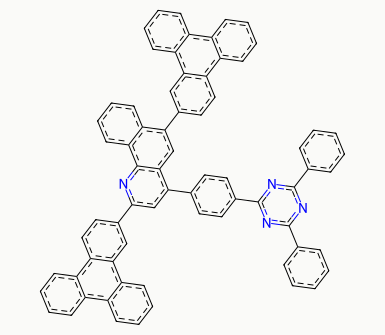 c1ccc(-c2nc(-c3ccccc3)nc(-c3ccc(-c4cc(-c5ccc6c7ccccc7c7ccccc7c6c5)nc5c4cc(-c4ccc6c7ccccc7c7ccccc7c6c4)c4ccccc45)cc3)n2)cc1